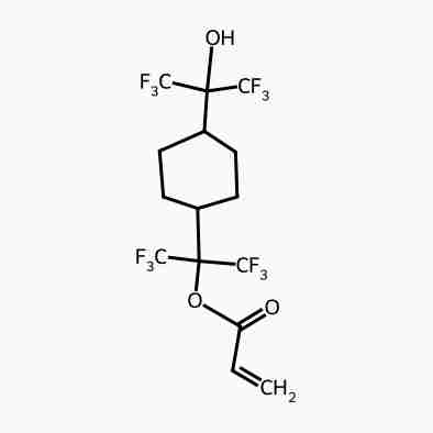 C=CC(=O)OC(C1CCC(C(O)(C(F)(F)F)C(F)(F)F)CC1)(C(F)(F)F)C(F)(F)F